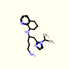 CC(C)n1ccnc1CC(CCCN)NC1CCCc2cccnc21